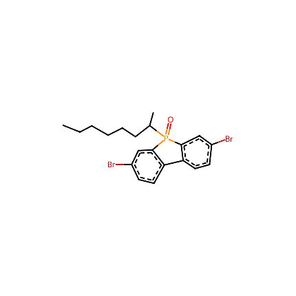 CCCCCCC(C)P1(=O)c2cc(Br)ccc2-c2ccc(Br)cc21